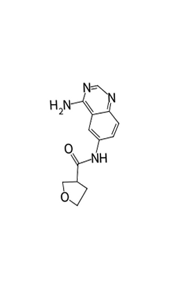 Nc1ncnc2ccc(NC(=O)C3CCOC3)cc12